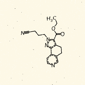 CCOC(=O)c1c2c(nn1CCCC#N)-c1ccncc1CC2